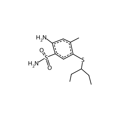 CCC(CC)Sc1cc(S(N)(=O)=O)c(N)cc1C